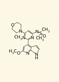 COc1cc(-c2nc(N=S(C)(C)=O)cc(N3CCOC[C@H]3C)n2)c2cc[nH]c2n1